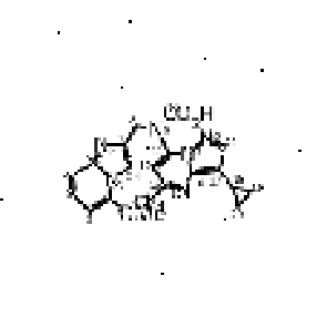 COc1cccc2nc(CN(C(=O)O)c3cc(Cl)nc4c(C5CC5)cnn34)cn12